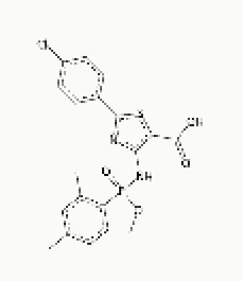 COP(=O)(Nc1nc(-c2ccc(Cl)cc2)sc1C(=O)O)c1ccc(C)cc1C